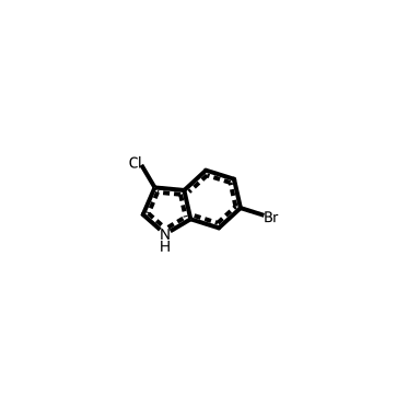 Clc1c[nH]c2cc(Br)ccc12